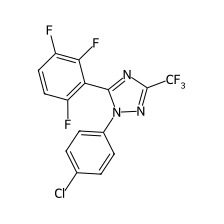 Fc1ccc(F)c(-c2nc(C(F)(F)F)nn2-c2ccc(Cl)cc2)c1F